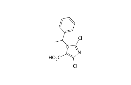 CC(c1ccccc1)n1c(Cl)nc(Cl)c1C(=O)O